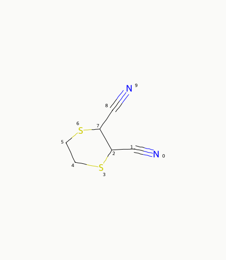 N#CC1SCCSC1C#N